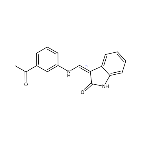 CC(=O)c1cccc(N/C=C2\C(=O)Nc3ccccc32)c1